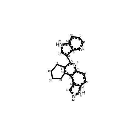 c1cnc2c(-c3nc4ccc5[nH]ncc5c4c4c3CCCC4)c[nH]c2c1